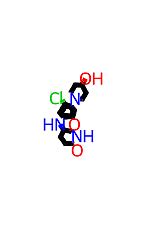 O=C1CCC(Nc2ccc(N3CCC(O)CC3)c(Cl)c2)C(=O)N1